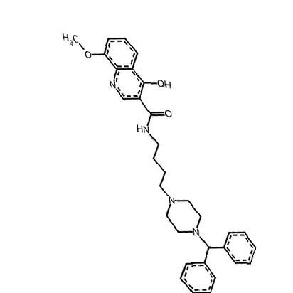 COc1cccc2c(O)c(C(=O)NCCCCN3CCN(C(c4ccccc4)c4ccccc4)CC3)cnc12